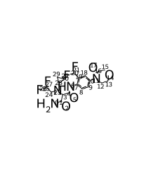 NC(=O)[C@H](C(=O)Nc1ccc(N2CCOCC2=O)cc1C(F)F)N(CC(F)F)C1CC1